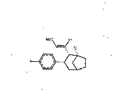 CCC(=NOC)[C@@H]1[C@H]2CCC(C2)C[C@@H]1c1ccc(I)cc1